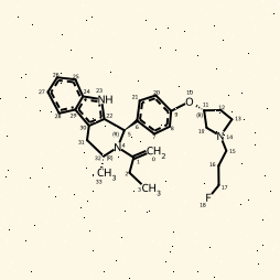 C=C(CC)N1[C@H](c2ccc(O[C@@H]3CCN(CCCF)C3)cc2)c2[nH]c3ccccc3c2C[C@H]1C